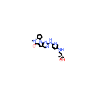 CN(C)C(=O)c1cc2cnc(Nc3ccc(NCC[Si](C)(C)O)cn3)nc2n1C1CCCC1